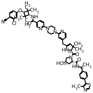 Cc1ncsc1-c1ccc([C@H](C)NC(=O)[C@@H]2C[C@@H](O)CN2C(=O)[C@H]2NC(Cc3ccnc(N4CCN(c5ccc(C(=O)N[C@H]6C(C)(C)[C@H](Oc7ccc(C#N)c(Cl)c7)C6(C)C)cn5)CC4)c3)=CC2(C)C)cc1